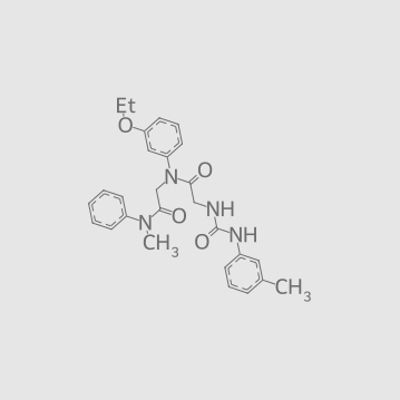 CCOc1cccc(N(CC(=O)N(C)c2ccccc2)C(=O)CNC(=O)Nc2cccc(C)c2)c1